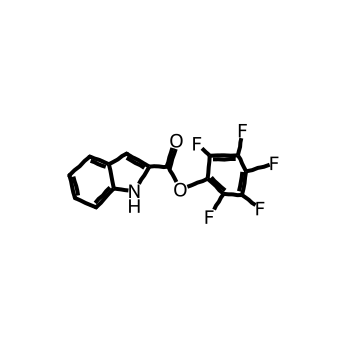 O=C(Oc1c(F)c(F)c(F)c(F)c1F)c1cc2ccccc2[nH]1